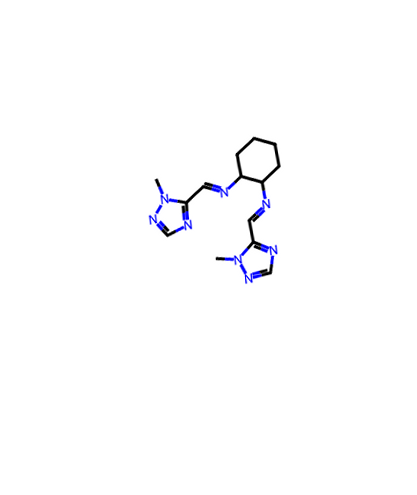 Cn1ncnc1C=NC1CCCCC1N=Cc1ncnn1C